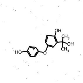 CC(C)(O)c1cc(Oc2ccc(O)cc2)ccc1O